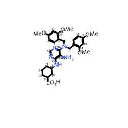 COc1ccc(CN(Cc2ccc(OC)cc2OC)c2ncnc(NC3CCCC(C(=O)O)C3)c2N)c(OC)c1